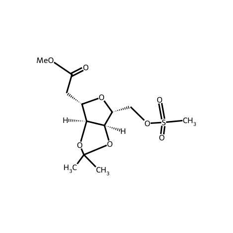 COC(=O)C[C@@H]1O[C@H](COS(C)(=O)=O)[C@H]2OC(C)(C)O[C@H]21